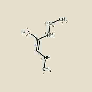 CN/C=C(/N)NNC